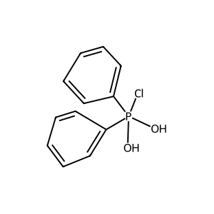 OP(O)(Cl)(c1ccccc1)c1ccccc1